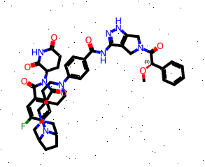 CO[C@@H](C(=O)N1Cc2[nH]nc(NC(=O)c3ccc(N4CCC(CN5CC6CCC(C5)N6c5cc6c(cc5F)C(=O)N(C5CCC(=O)NC5=O)C6=O)CC4)cc3)c2C1)c1ccccc1